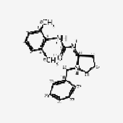 Cc1cccc(C)c1NC(=O)N=C1CCCN1Cc1ccccc1